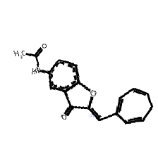 CC(=O)Nc1ccc2c(c1)C(=O)/C(=C/C1=CC=CCC=C1)O2